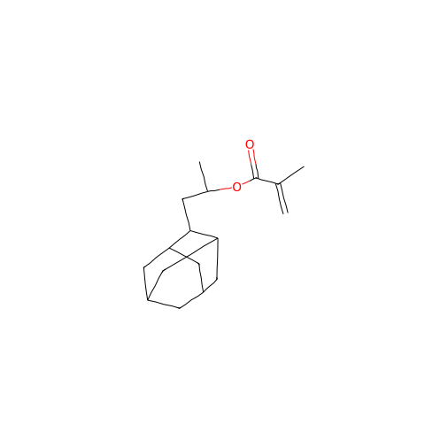 C=C(C)C(=O)OC(C)CC1C2CC3CC(C2)CC1C3